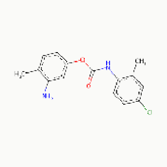 Cc1ccc(OC(=O)Nc2ccc(Cl)cc2C)cc1N